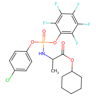 CC(NP(=O)(Oc1ccc(Cl)cc1)Oc1c(F)c(F)c(F)c(F)c1F)C(=O)OC1CCCCC1